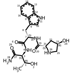 C[C@@H](O)[C@H](NC(=O)[C@H](Cc1c[nH]c2ccccc12)NC(=O)[C@@H]1C[C@@H](O)CN1)C(N)=O